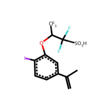 C=C(C)c1ccc(I)c(OC(C(F)(F)F)C(F)(F)S(=O)(=O)O)c1